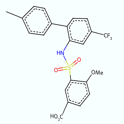 COc1ccc(C(=O)O)cc1S(=O)(=O)Nc1cc(C(F)(F)F)ccc1-c1ccc(C)cc1